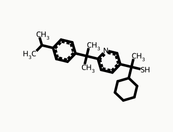 CC(C)c1ccc(C(C)(C)c2ccc(C(C)(S)C3CCCCC3)cn2)cc1